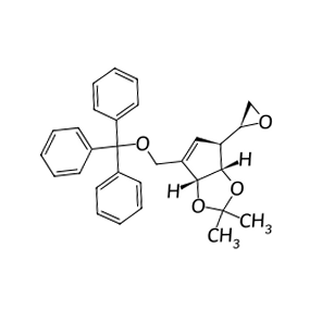 CC1(C)O[C@H]2[C@H]([C@H]3CO3)C=C(COC(c3ccccc3)(c3ccccc3)c3ccccc3)[C@H]2O1